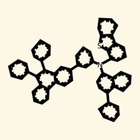 c1ccc(-c2ccc(N(c3cccc(-c4ccc5c(c4)c(-c4ccccc4)c(-c4ccccc4)c4ccccc45)c3)c3cccc4c3sc3ccccc34)c3ccccc23)cc1